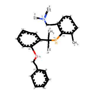 CCN(CC)Cc1cccc(C)c1PC(C)(CC)c1ccccc1OCc1ccccc1